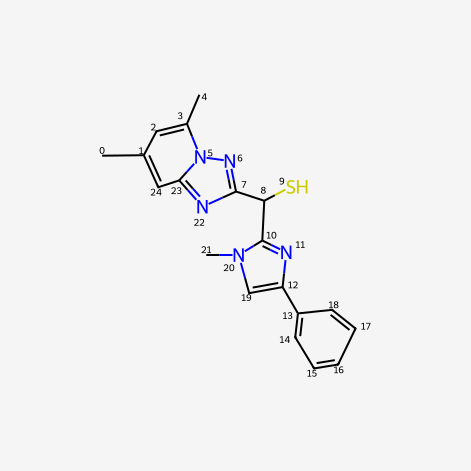 Cc1cc(C)n2nc(C(S)c3nc(-c4ccccc4)cn3C)nc2c1